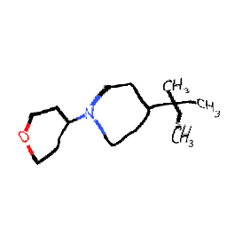 CC(C)(C)C1CCN(C2CCOCC2)CC1